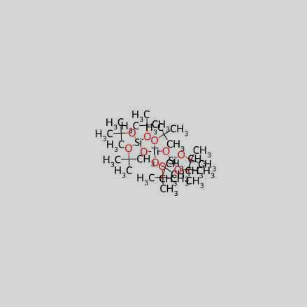 CC(C)(C)O[Si](OC(C)(C)C)(OC(C)(C)C)[O][Ti]([O]C(C)(C)C)([O]C(C)(C)C)[O][Si](OC(C)(C)C)(OC(C)(C)C)OC(C)(C)C